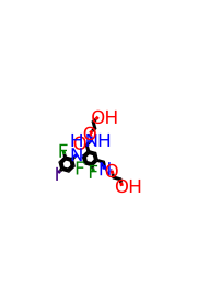 O=C(NOCCO)c1cc(/C=N/OCCO)c(F)c(F)c1Nc1ccc(I)cc1F